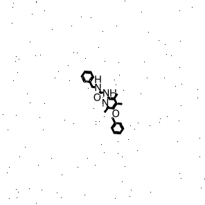 Cc1nc(NC(=O)NCc2ccccc2)c(C)c(C)c1OCc1ccccc1